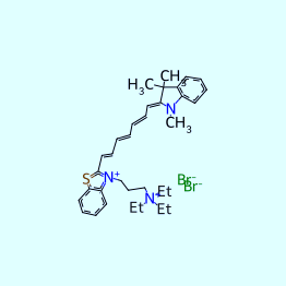 CC[N+](CC)(CC)CCC[n+]1c(/C=C/C=C/C=C/C=C2\N(C)c3ccccc3C2(C)C)sc2ccccc21.[Br-].[Br-]